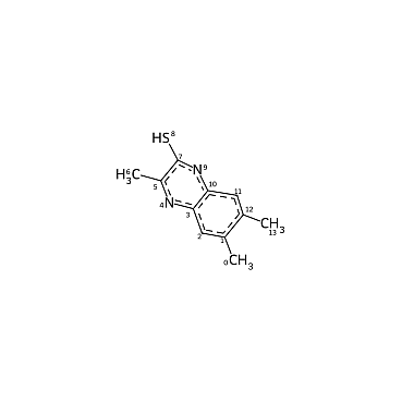 Cc1cc2nc(C)c(S)nc2cc1C